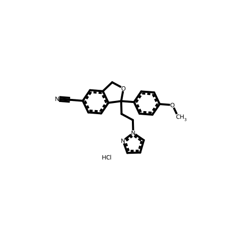 COc1ccc(C2(CCn3cccn3)OCc3cc(C#N)ccc32)cc1.Cl